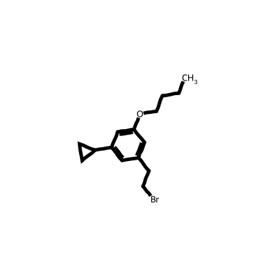 CCCCOc1cc(CCBr)cc(C2CC2)c1